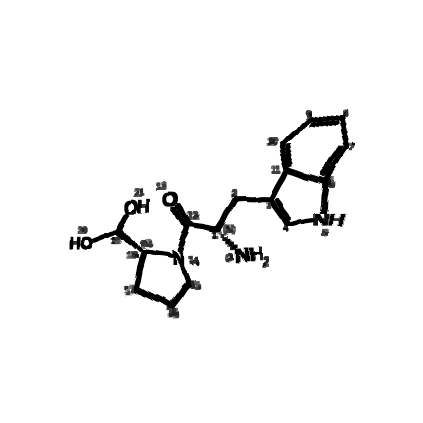 N[C@@H](Cc1c[nH]c2ccccc12)C(=O)N1CCC[C@H]1C(O)O